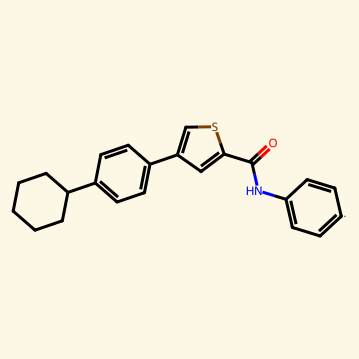 O=C(Nc1cc[c]cc1)c1cc(-c2ccc(C3CCCCC3)cc2)cs1